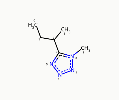 CCC(C)c1nnnn1C